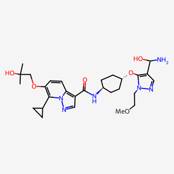 COCCn1ncc(C(N)O)c1O[C@H]1CC[C@H](NC(=O)c2cnn3c(C4CC4)c(OCC(C)(C)O)ccc23)CC1